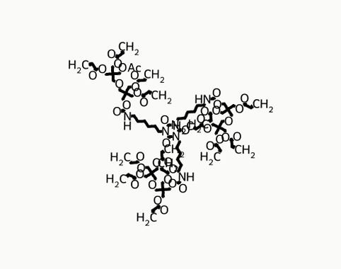 C=CC(=O)OCC(COCC(COC(=O)C=C)(COC(=O)C=C)COC(=O)NCCCCCCn1c(=O)n(CCCCCCNC(=O)OCC(COCC(COC(=O)C=C)(COC(=O)C=C)COC(=O)C=C)(COC(=O)C=C)COC(=O)C=C)c(=O)n(CCCCCCNC(=O)OCC(COCC(COC(=O)C=C)(COC(=O)C=C)COC(=O)C=C)(COC(=O)C=C)COC(=O)C=C)c1=O)(COC(C)=O)COC(=O)C=C